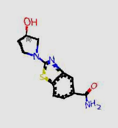 NC(=O)c1ccc2sc(N3CC[C@@H](O)C3)nc2c1